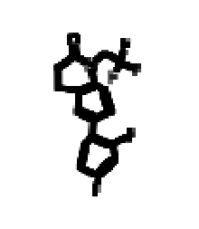 O=C1CCc2cc(-c3ccc(F)cc3F)ccc2N1CC(F)(F)F